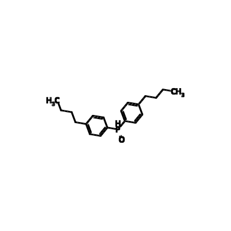 CCCCc1ccc([PH](=O)c2ccc(CCCC)cc2)cc1